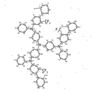 Cc1ccccc1-c1ccc(N(c2ccccc2)c2ccc(N(c3ccc(N(c4ccccc4)c4ccc(-c5ccccc5C)c(C(F)(F)F)c4)cc3)c3ccc(N(c4ccccc4)c4ccc(-c5ccccc5C)c(C(F)(F)F)c4)cc3)cc2)cc1C(F)(F)F